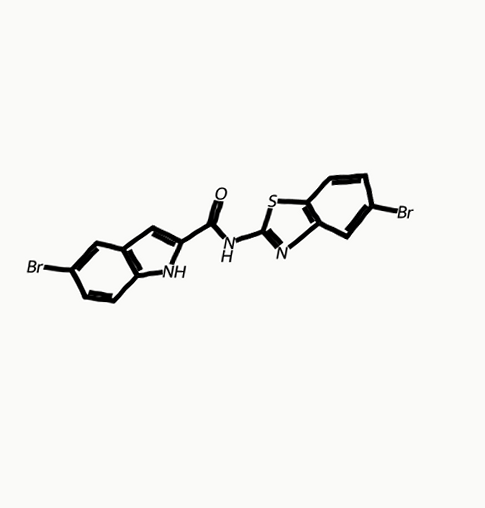 O=C(Nc1nc2cc(Br)ccc2s1)c1cc2cc(Br)ccc2[nH]1